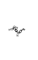 [N-]=[N+]=C1C=CC(Nc2ccc(P(O)O)cc2)=CC1